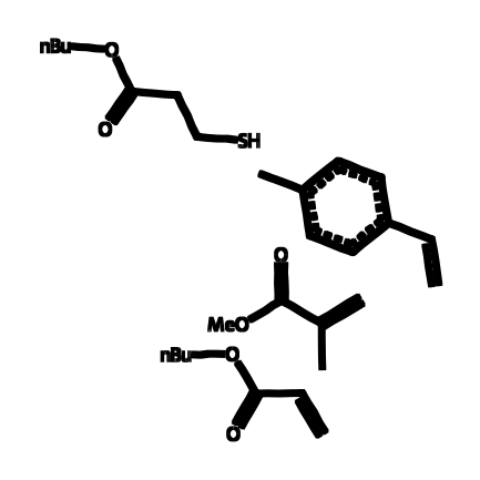 C=C(C)C(=O)OC.C=CC(=O)OCCCC.C=Cc1ccc(C)cc1.CCCCOC(=O)CCS